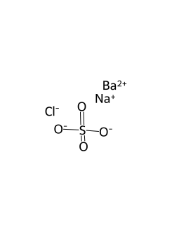 O=S(=O)([O-])[O-].[Ba+2].[Cl-].[Na+]